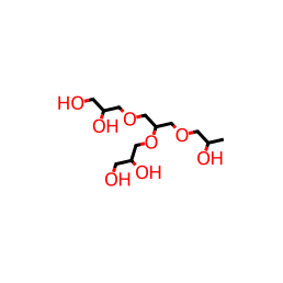 CC(O)COCC(COCC(O)CO)OCC(O)CO